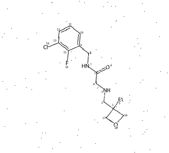 CCC1(CNCC(=O)NCc2cccc(Cl)c2F)COC1